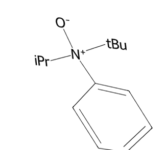 CC(C)[N+]([O-])(c1ccccc1)C(C)(C)C